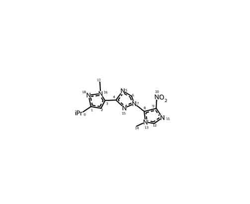 CC(C)c1cc(-c2ncn(-c3c([N+](=O)[O-])ncn3C)n2)n(C)n1